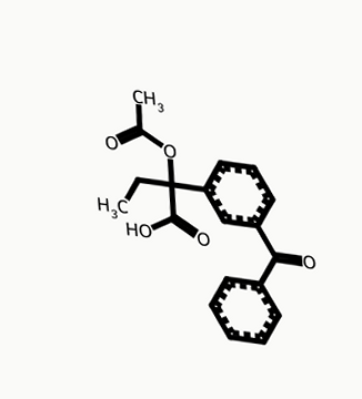 CCC(OC(C)=O)(C(=O)O)c1cccc(C(=O)c2ccccc2)c1